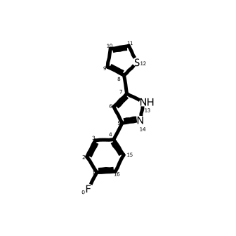 Fc1ccc(-c2cc(-c3cccs3)[nH]n2)cc1